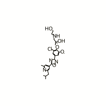 COc1cc(-c2noc(-c3cc(C)nc(CC(C)C)c3)n2)cc(Cl)c1OC[C@H](O)CNCCO